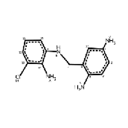 Nc1ccc(N)c(CNc2cccc(Cl)c2N)c1